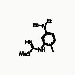 CCN(CC)c1ccc(C)c(NC(=N)SC)c1